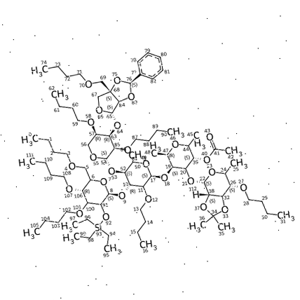 CCCCOCC1O[C@@H](O[C@H]2C(OCCCC)[C@H](O[C@@H]3C(O[C@@H]4OC(C)[C@H](OCCCC)C5OC(C)(C)O[C@@H]54)[C@@H](OC(C)=O)C(C)O[C@@H]3C)OC(C)[C@@H]2O[C@@H]2OC[C@@H](OCCCC)[C@@H](O[C@@H]3OC[C@]4(COCCCC)O[C@@H](c5ccccc5)OC34)C2OCCCC)C(O[Si](CC)(CC)CC)C(OCCCC)[C@@H]1OCCCC